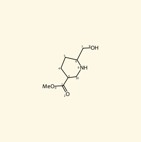 COC(=O)C1CCC(CO)NC1